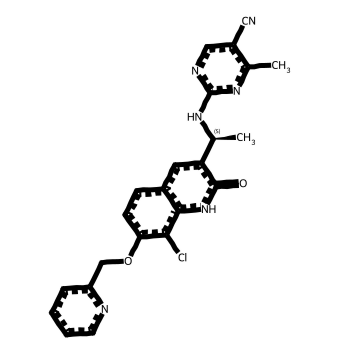 Cc1nc(N[C@@H](C)c2cc3ccc(OCc4ccccn4)c(Cl)c3[nH]c2=O)ncc1C#N